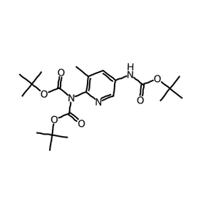 Cc1cc(NC(=O)OC(C)(C)C)cnc1N(C(=O)OC(C)(C)C)C(=O)OC(C)(C)C